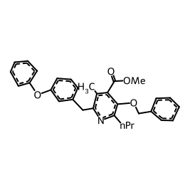 CCCc1nc(Cc2cccc(Oc3ccccc3)c2)c(C)c(C(=O)OC)c1OCc1ccccc1